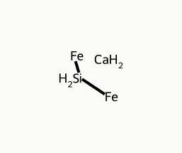 [CaH2].[Fe][SiH2][Fe]